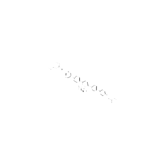 CCCCC(CC)COc1ccc(-c2ccc(-c3ccc(-c4ccc(-c5ccc(OCC(C)CC)cc5)cc4)c4nsnc34)cc2)cc1